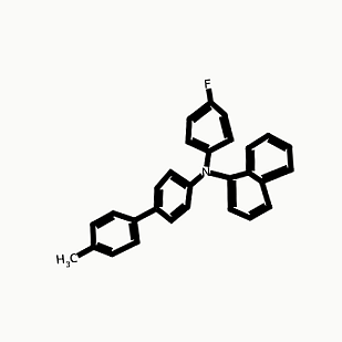 Cc1ccc(-c2ccc(N(c3ccc(F)cc3)c3cccc4ccccc34)cc2)cc1